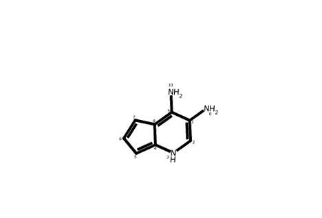 Nc1c[nH]c2cccc-2c1N